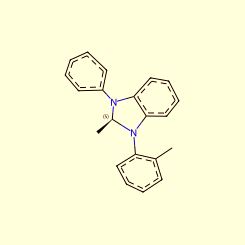 Cc1ccccc1N1c2ccccc2N(c2ccccc2)[C@@H]1C